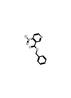 O=C(OCc1ccccc1)c1cnccc1[N+](=O)[O-]